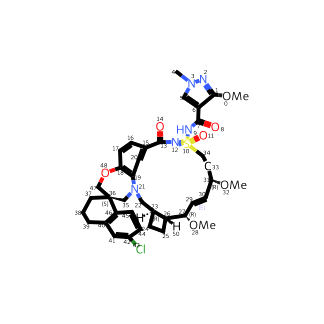 COc1nn(C)cc1C(=O)NS1(=O)=NC(=O)c2ccc3c(c2)N(C[C@@H]2CC[C@H]2[C@@H](OC)/C=C/[C@H](OC)CC1)C[C@@]1(CCCc2cc(Cl)ccc21)CO3